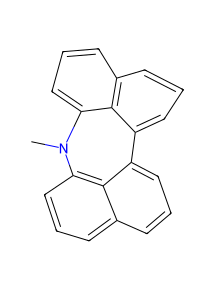 Cn1c2cccc3cccc(c4cccc5cccc1c54)c32